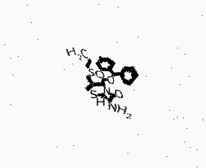 C=CCSCC1=C(C(=O)OC(c2ccccc2)c2ccccc2)N2C(=O)C(N)[C@@H]2SC1